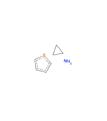 C1CC1.N.c1ccsc1